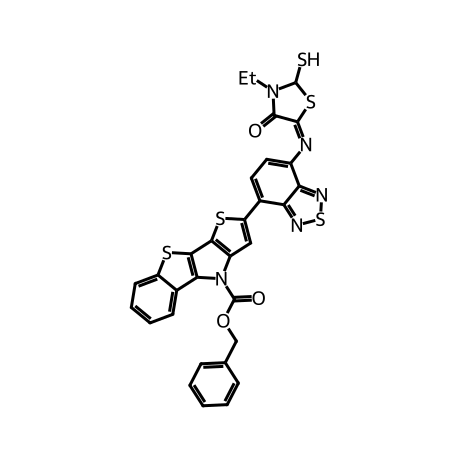 CCN1C(=O)/C(=N\c2ccc(-c3cc4c(s3)c3sc5ccccc5c3n4C(=O)OCc3ccccc3)c3nsnc23)SC1S